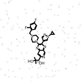 CC(C)(O)[C@@H](O)c1cc2nc(N3CCN(Cc4ccc(F)cc4F)CC3)c(-c3cnn(C4CC4)c3)nc2cn1